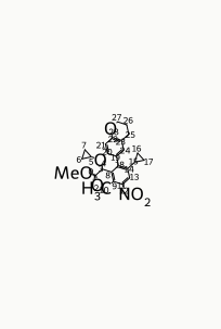 COC(=O)C(OC1CC1)c1c(C)c([N+](=O)[O-])cc(C2CC2)c1-c1ccc2c(c1)CCCO2